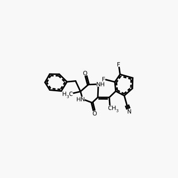 CC(=C1NC(=O)C(C)(Cc2ccccc2)NC1=O)c1c(C#N)ccc(F)c1F